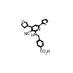 N#Cc1c(C2CCOC2)cc(-c2cccs2)nc1NCc1ccc(C(=O)O)cc1